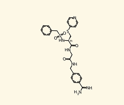 N=C(N)c1ccc(CNC(=O)CNC(=O)[C@H](CSc2ccncc2)NS(=O)(=O)Cc2ccccc2)cc1